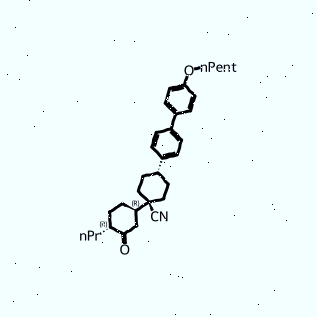 CCCCCOc1ccc(-c2ccc([C@H]3CC[C@@](C#N)([C@@H]4CC[C@@H](CCC)C(=O)C4)CC3)cc2)cc1